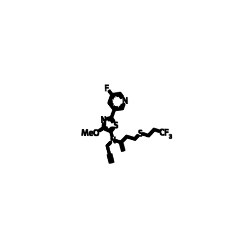 C#CCN(C(=C)CCSCCC(F)(F)F)c1sc(-c2cncc(F)c2)nc1OC